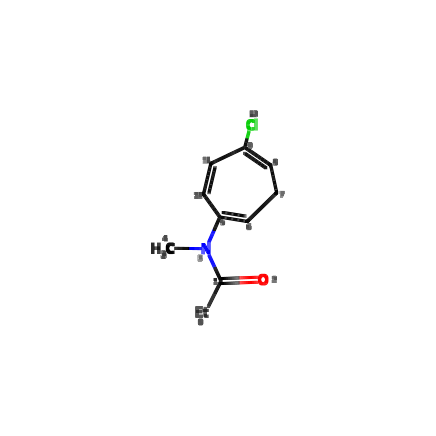 CCC(=O)N(C)C1=CCC=C(Cl)C=C1